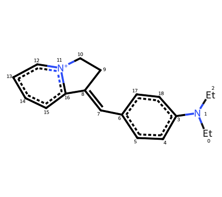 CCN(CC)c1ccc(C=C2CC[n+]3ccccc32)cc1